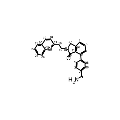 NCc1ccc(-c2cccc3c2C(=O)N(CCc2ccc4ccccc4n2)C3)cc1